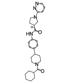 O=C(Nc1ccc(C2CCN(C(=O)C3CCCCC3)CC2)cc1)[C@H]1CCN(c2cccnn2)C1